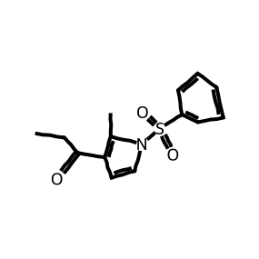 CCC(=O)c1ccn(S(=O)(=O)c2ccccc2)c1C